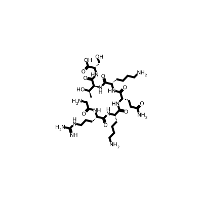 C[C@@H](O)[C@H](NC(=O)[C@H](CCCCN)NC(=O)[C@H](CCC(N)=O)NC(=O)[C@H](CCCCN)NC(=O)[C@H](CCCNC(=N)N)NC(=O)CN)C(=O)N[C@@H](CO)C(=O)O